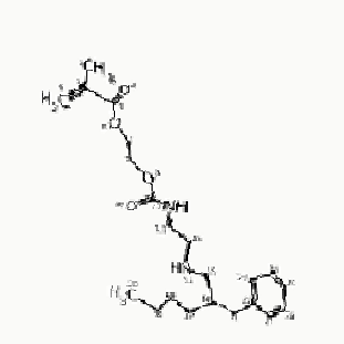 C=C(C)C(=O)OCCOC(=O)NCCNCC(CCCC)Cc1ccccc1